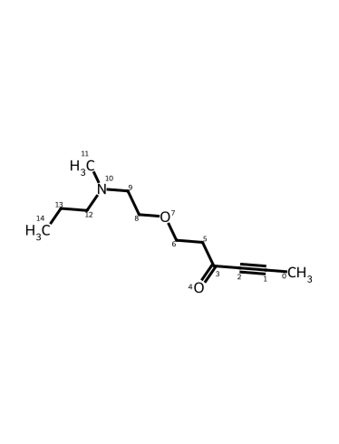 CC#CC(=O)CCOCCN(C)CCC